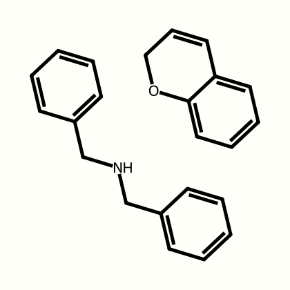 C1=Cc2ccccc2OC1.c1ccc(CNCc2ccccc2)cc1